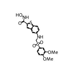 COc1ccc(S(=O)(=O)CNc2ccc3sc(C(=O)NO)cc3c2)cc1OC